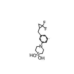 OS1(O)CCN(c2c[c]cc(CC3CC3(F)F)c2)CC1